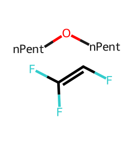 CCCCCOCCCCC.FC=C(F)F